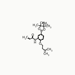 C=CC(=O)Nc1cc(B2OC(C)(C)C(C)(C)O2)ccc1OCCN(C)C